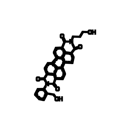 O=C1c2ccc3c4ccc5c6c(ccc(c7ccc(c2c37)C(=O)N1CCCO)c64)C(=O)N(c1ccccc1CO)C5=O